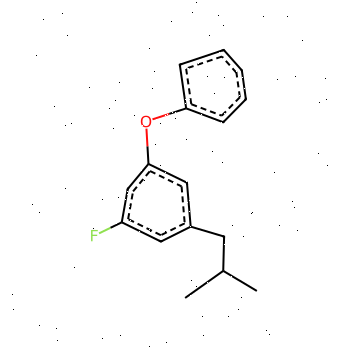 CC(C)Cc1cc(F)cc(Oc2ccccc2)c1